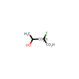 CCOC(=O)C(C)O.O=C(O)CF